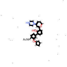 CC(=O)Nc1ccc(-c2cccc(C3=CC(N4CCNCC4)=CCCO3)c2O)cc1OC1CCCC1